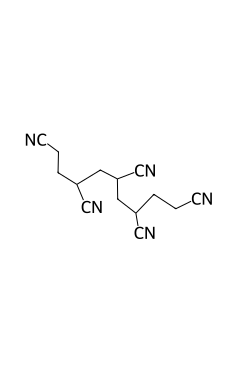 N#CCCC(C#N)CC(C#N)CC(C#N)CCC#N